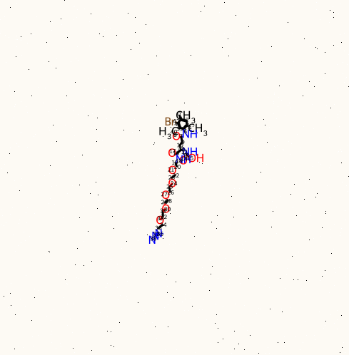 Cc1cc(C)c(NC(=O)CC[C@@H](NC(=O)O)C(=O)NCCOCCOCCOCCOCCOCCN=[N+]=[N-])c(C)c1Br